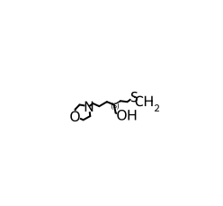 [CH2]SCC[C@@H](CO)CCCN1CCOCC1